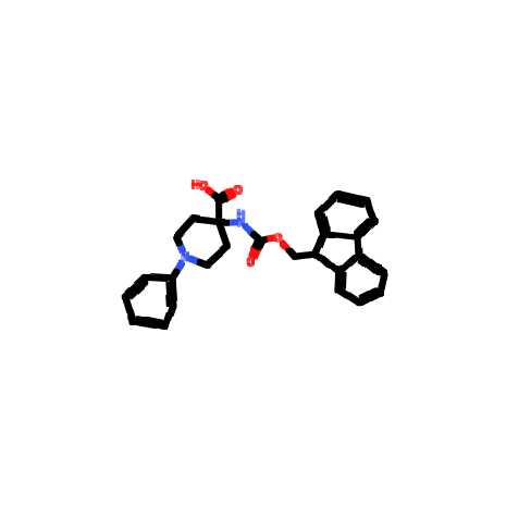 O=C(NC1(C(=O)O)CCN(c2ccccc2)CC1)OCC1c2ccccc2-c2ccccc21